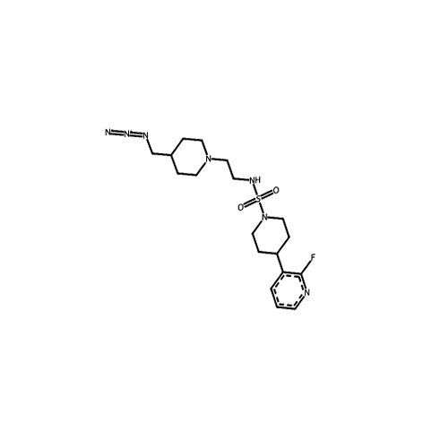 [N-]=[N+]=NCC1CCN(CCNS(=O)(=O)N2CCC(c3cccnc3F)CC2)CC1